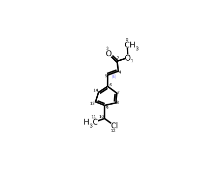 COC(=O)/C=C/c1ccc(C(C)Cl)cc1